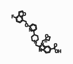 O=C(O)c1ccc2nc(CN3CCC(c4cccc(OCc5ccc(F)c6ccoc56)n4)CC3)n(C[C@@H]3CCO3)c2c1